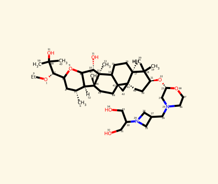 CCO[C@@H](C1C[C@@H](C)[C@H]2C(O1)[C@H](O)[C@@]1(C)C3CC[C@H]4C(C)(C)[C@@H](O[C@H]5CN(CC6CN(C(CO)CO)C6)CCO5)CC[C@@]45C[C@@]35CC[C@]21C)C(C)(C)O